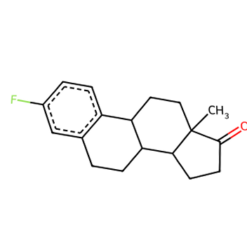 CC12CCC3c4ccc(F)cc4CCC3C1CCC2=O